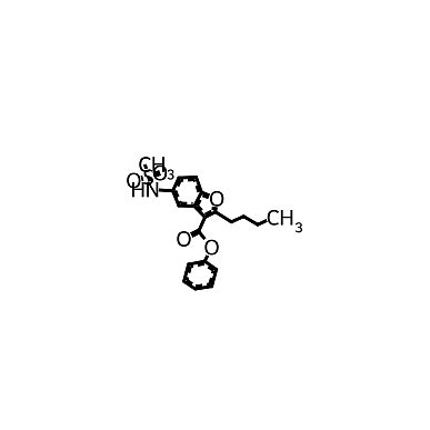 CCCCc1oc2ccc(NS(C)(=O)=O)cc2c1C(=O)Oc1ccccc1